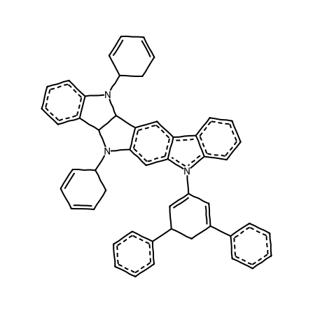 C1=CCC(N2c3ccccc3C3C2c2cc4c5ccccc5n(C5=CC(c6ccccc6)CC(c6ccccc6)=C5)c4cc2N3C2C=CC=CC2)C=C1